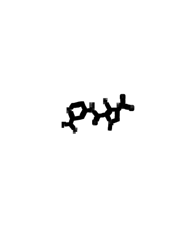 Cn1cc([SH](=O)=O)c(F)c1C(=O)Nc1ccnc(C(F)F)c1